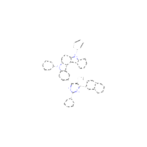 N#Cc1c(-c2ccc3ccccc3c2)nc(-c2ccccc2)nc1-c1ccc2c(c1)c1c3c4ccccc4n(C4C=CC=CC4)c3ccc1n2-c1ccccc1